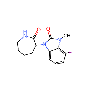 Cn1c(=O)n(C2CCCCNC2=O)c2cccc(I)c21